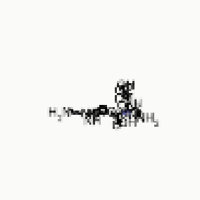 C[C@H]1[C@H](NC(=O)/C(=N\O[C@@H](COc2ccc3c(c2)CN(C(=N)NCCCCN)C3)C(=O)O)c2csc(N)n2)C(=O)N1S(=O)(=O)O